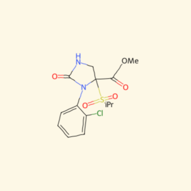 COC(=O)C1(S(=O)(=O)C(C)C)CNC(=O)N1c1ccccc1Cl